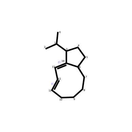 CC(C)C1CCC2CCCC/C=C/C=C\21